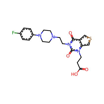 O=C(O)CCn1c(=O)n(CCN2CCN(c3ccc(F)cc3)CC2)c(=O)c2cscc21